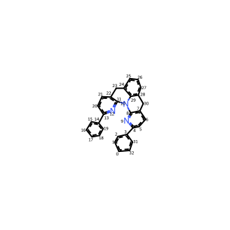 c1ccc(-c2ccc3c(n2)N2c4nc(-c5ccccc5)ccc4Cc4cccc(c42)C3)cc1